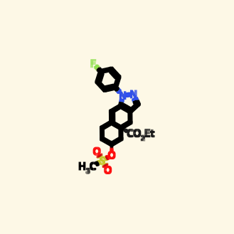 CCOC(=O)[C@]12Cc3cnn(-c4ccc(F)cc4)c3C=C1CC[C@H](OS(C)(=O)=O)C2